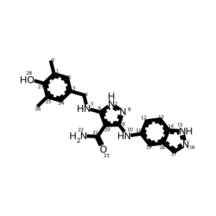 Cc1cc(CNc2[nH]nc(Nc3ccc4[nH]ncc4c3)c2C(N)=O)cc(C)c1O